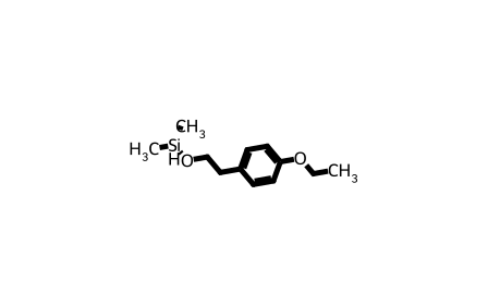 CCOc1ccc(CCO[SiH](C)C)cc1